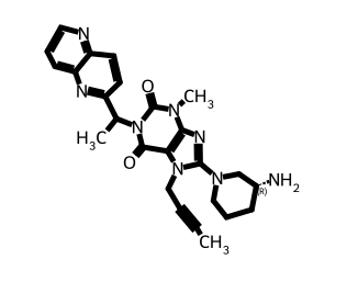 CC#CCn1c(N2CCC[C@@H](N)C2)nc2c1c(=O)n(C(C)c1ccc3ncccc3n1)c(=O)n2C